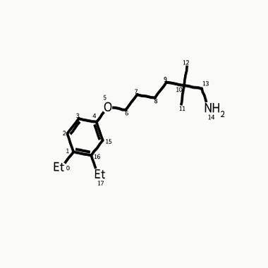 CCc1ccc(OCCCCC(C)(C)CN)cc1CC